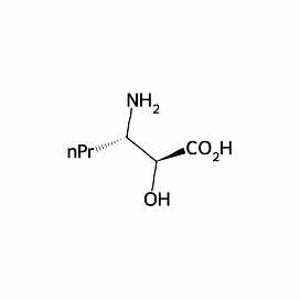 CCC[C@H](N)[C@H](O)C(=O)O